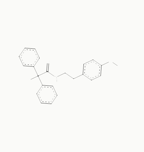 COc1ccc(CCNC(=O)C(O)(c2ccccc2)c2ccccc2)cc1